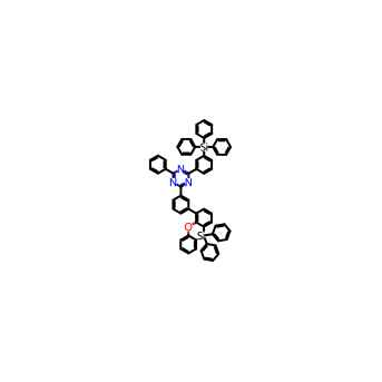 c1ccc(-c2nc(-c3cccc(-c4cccc5c4Oc4ccccc4[Si]5(c4ccccc4)c4ccccc4)c3)nc(-c3cccc([Si](c4ccccc4)(c4ccccc4)c4ccccc4)c3)n2)cc1